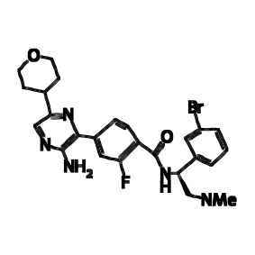 CNC[C@@H](NC(=O)c1ccc(-c2nc(C3CCOCC3)cnc2N)cc1F)c1cccc(Br)c1